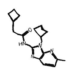 Cc1ccc2nc(NC(=O)CC3CCC3)n(C3CCC3)c2n1